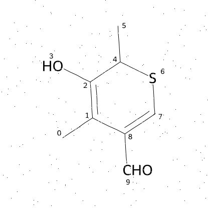 CC1=C(O)C(C)SC=C1C=O